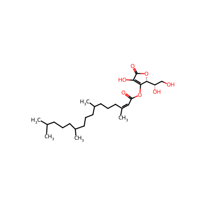 CC(=CC(=O)OC1=C(O)C(=O)O[C@@H]1[C@@H](O)CO)CCCC(C)CCCC(C)CCCC(C)C